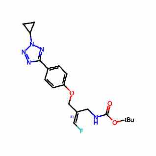 CC(C)(C)OC(=O)NC/C(=C\F)COc1ccc(-c2nnn(C3CC3)n2)cc1